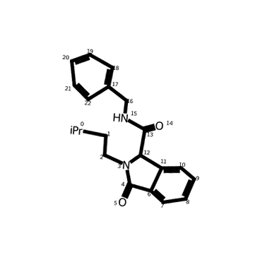 CC(C)CCN1C(=O)c2ccccc2C1C(=O)NCc1ccccc1